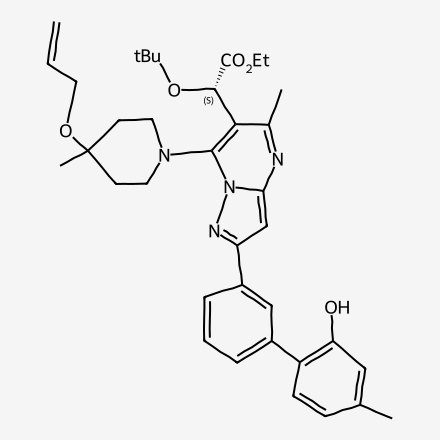 C=CCOC1(C)CCN(c2c([C@H](OC(C)(C)C)C(=O)OCC)c(C)nc3cc(-c4cccc(-c5ccc(C)cc5O)c4)nn23)CC1